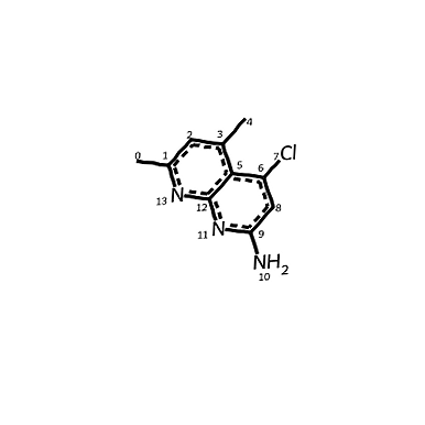 Cc1cc(C)c2c(Cl)cc(N)nc2n1